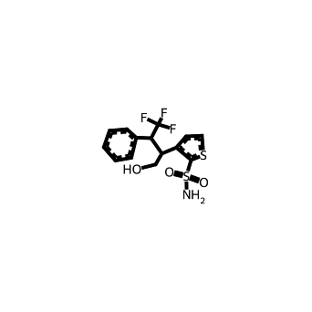 NS(=O)(=O)c1sccc1C(CO)C(c1ccccc1)C(F)(F)F